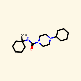 O=C(NC1(C(=O)O)CCCCC1)N1CCN(C2CCCCC2)CC1